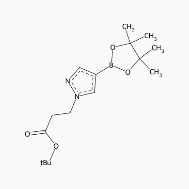 CC(C)(C)OC(=O)CCn1cc(B2OC(C)(C)C(C)(C)O2)cn1